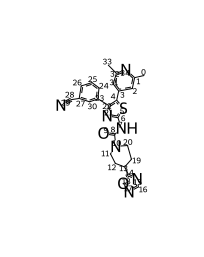 Cc1cc(-c2sc(NC(=O)N3CCC(c4ncno4)CC3)nc2-c2cccc(C#N)c2)cc(C)n1